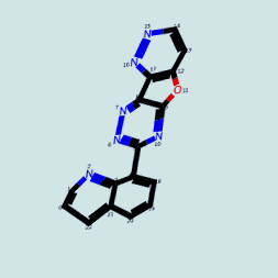 c1cnc2c(-c3nnc4c(n3)oc3ccnnc34)cccc2c1